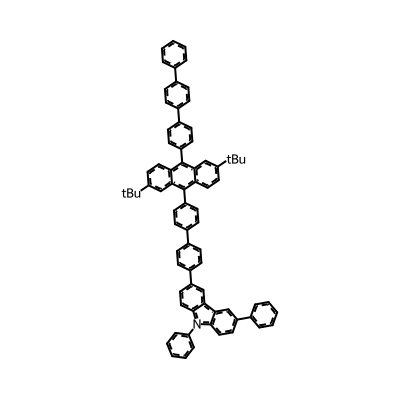 CC(C)(C)c1ccc2c(-c3ccc(-c4ccc(-c5ccc6c(c5)c5cc(-c7ccccc7)ccc5n6-c5ccccc5)cc4)cc3)c3cc(C(C)(C)C)ccc3c(-c3ccc(-c4ccc(-c5ccccc5)cc4)cc3)c2c1